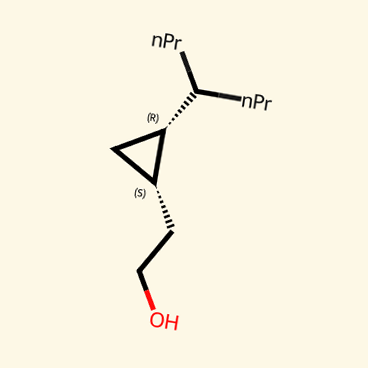 CCCC(CCC)[C@H]1C[C@H]1CCO